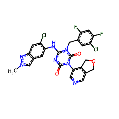 Cn1cc2cc(Nc3nc(=O)n(-c4cncc5c4COC5)c(=O)n3Cc3cc(Cl)c(F)cc3F)c(Cl)cc2n1